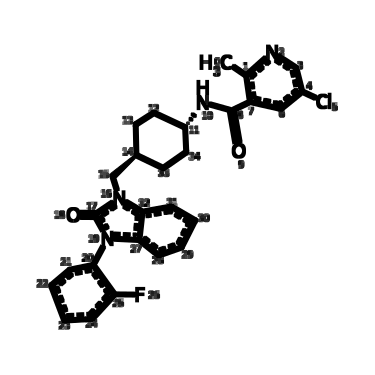 Cc1ncc(Cl)cc1C(=O)N[C@H]1CC[C@H](Cn2c(=O)n(-c3ccccc3F)c3ccccc32)CC1